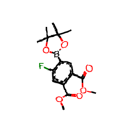 COC(=O)c1cc(F)c(B2OC(C)(C)C(C)(C)O2)cc1C(=O)OC